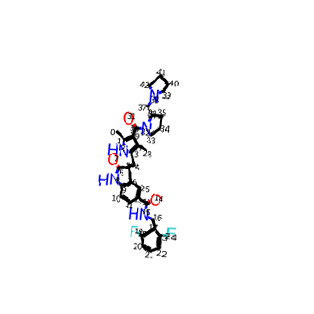 Cc1[nH]c(C=C2C(=O)Nc3ccc(C(=O)NCc4c(F)cccc4F)cc32)c(C)c1C(=O)N1CCC[C@H]1CN1CCCC1